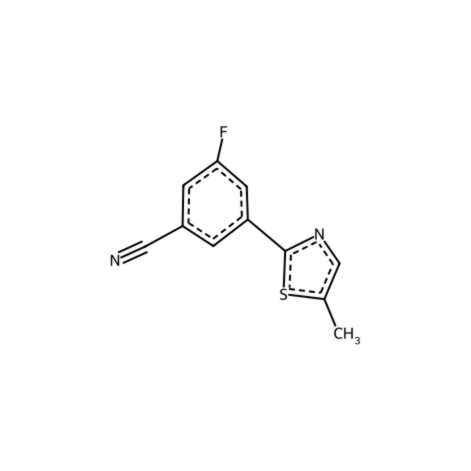 Cc1cnc(-c2cc(F)cc(C#N)c2)s1